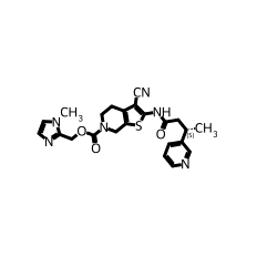 C[C@@H](CC(=O)Nc1sc2c(c1C#N)CCN(C(=O)OCc1nccn1C)C2)c1cccnc1